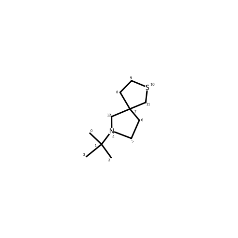 CC(C)(C)N1CCC2(CCSC2)C1